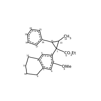 CCOC(=O)C1(c2cc3c(cc2OC)CCCC3)C(C)C1c1ccccc1